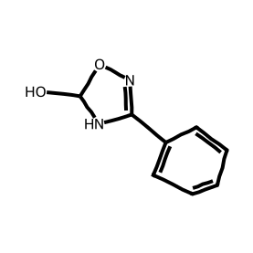 OC1NC(c2ccccc2)=NO1